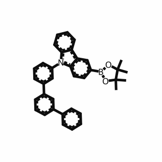 CC1(C)OB(c2ccc3c(c2)c2ccccc2n3-c2cccc(-c3cccc(-c4ccccc4)c3)c2)OC1(C)C